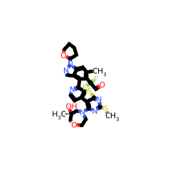 CSc1nc(N2CCOC[C@@](C)(O)C2)c2c(n1)sc1c(-c3c(C(F)(F)C=O)c(C)cc4c3cnn4C3CCCCO3)nccc12